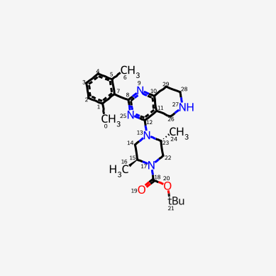 Cc1cccc(C)c1-c1nc2c(c(N3C[C@H](C)N(C(=O)OC(C)(C)C)C[C@H]3C)n1)CNCC2